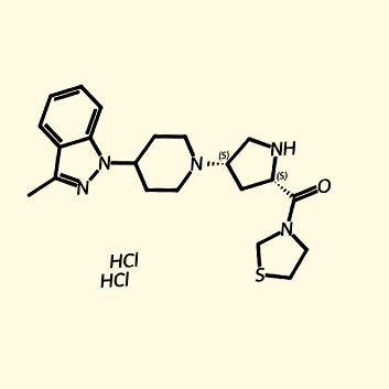 Cc1nn(C2CCN([C@@H]3CN[C@H](C(=O)N4CCSC4)C3)CC2)c2ccccc12.Cl.Cl